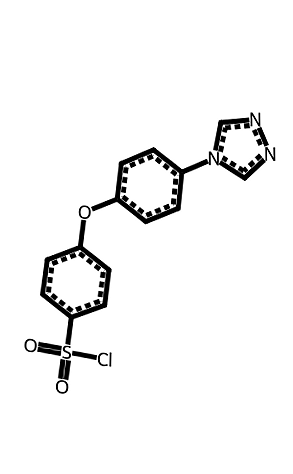 O=S(=O)(Cl)c1ccc(Oc2ccc(-n3cnnc3)cc2)cc1